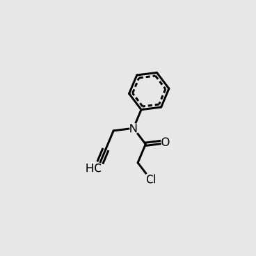 C#CCN(C(=O)CCl)c1ccccc1